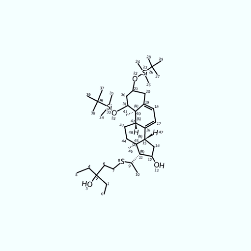 CCC(O)(CC)CCSC(C)[C@H]1C(O)C[C@H]2C3=CC=C4CC(O[Si](C)(C)C(C)(C)C)CC(O[Si](C)(C)C(C)(C)C)[C@]4(C)[C@H]3CC[C@]12C